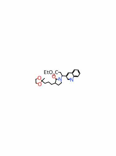 CCOC(=O)CC(c1cnc2ccccc2c1)N1CCC(CCCC2(C)OCCO2)C1=O